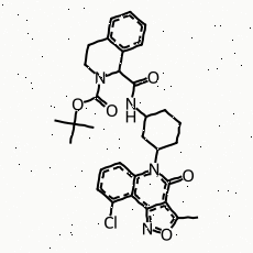 Cc1onc2c1c(=O)n(C1CCCC(NC(=O)C3c4ccccc4CCN3C(=O)OC(C)(C)C)C1)c1cccc(Cl)c21